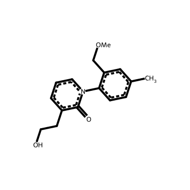 COCc1cc(C)ccc1-n1cccc(CCO)c1=O